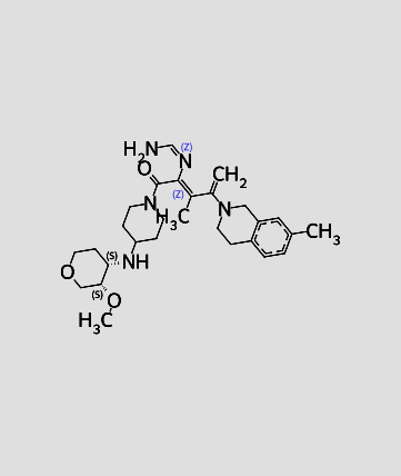 C=C(/C(C)=C(\N=C/N)C(=O)N1CCC(N[C@H]2CCOC[C@H]2OC)CC1)N1CCc2ccc(C)cc2C1